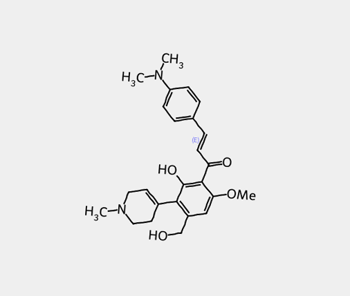 COc1cc(CO)c(C2=CCN(C)CC2)c(O)c1C(=O)/C=C/c1ccc(N(C)C)cc1